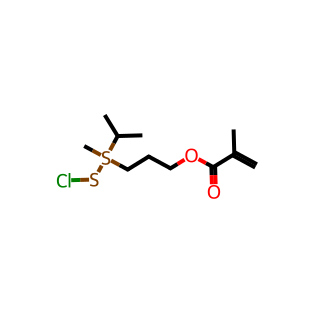 C=C(C)C(=O)OCCCS(C)(SCl)C(C)C